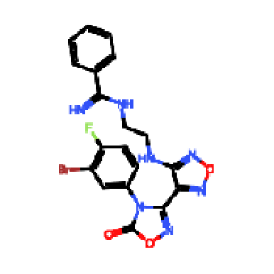 N=C(NCCNc1nonc1-c1noc(=O)n1-c1ccc(F)c(Br)c1)c1ccccc1